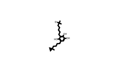 CCC(C)(C)CCCCCc1c(O)c(O)cc(CCCCC2(C)CC2)c1O